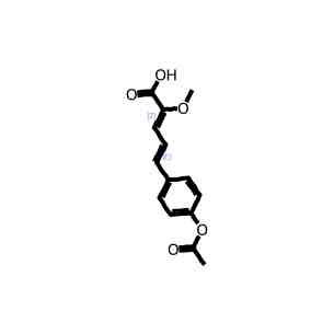 CO/C(=C\C=C\c1ccc(OC(C)=O)cc1)C(=O)O